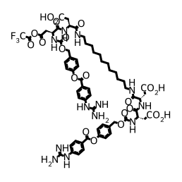 N=C(N)Nc1ccc(C(=O)Oc2ccc(COC(=O)N[C@@H](CC(=O)O)C(=O)N[C@@H](CC(=O)O)C(=O)NCCCCCCCCCCCCNC(=O)[C@H](CC(=O)O)NC(=O)[C@H](CC(=O)OC(=O)C(F)(F)F)NC(=O)OCc3ccc(OC(=O)c4ccc(NC(=N)N)cc4)cc3)cc2)cc1